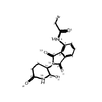 O=C(CBr)Nc1cccc2c1C(=O)N(C1CCC(=O)NC1O)C2=O